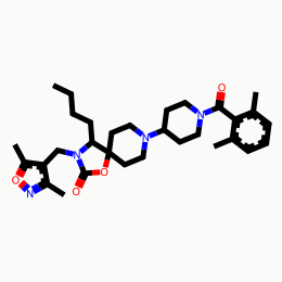 CCCCC1N(Cc2c(C)noc2C)C(=O)OC12CCN(C1CCN(C(=O)c3c(C)cccc3C)CC1)CC2